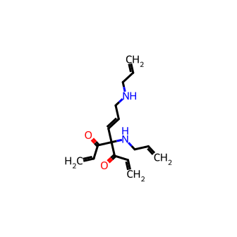 C=CCNCC=CC(NCC=C)(C(=O)C=C)C(=O)C=C